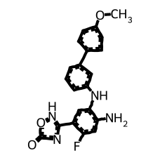 COc1ccc(-c2cccc(Nc3cc(-c4nc(=O)o[nH]4)c(F)cc3N)c2)cc1